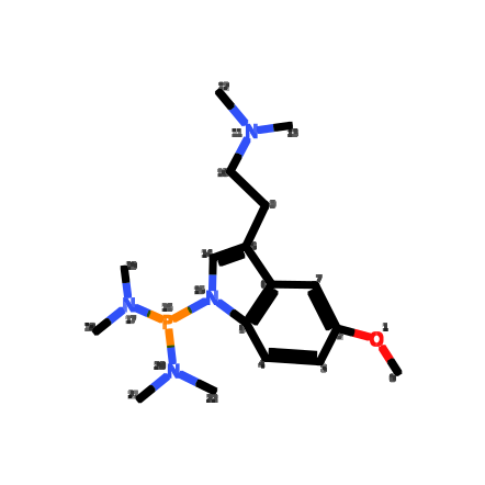 COc1ccc2c(c1)c(CCN(C)C)cn2P(N(C)C)N(C)C